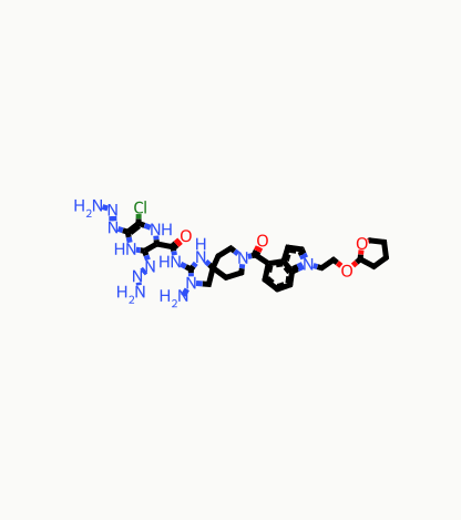 NN=NC1=C(Cl)NC(C(=O)NC2NC3(CCN(C(=O)c4cccc5c4ccn5CCOC4CCCCO4)CC3)CN2N)C(N=NN)N1